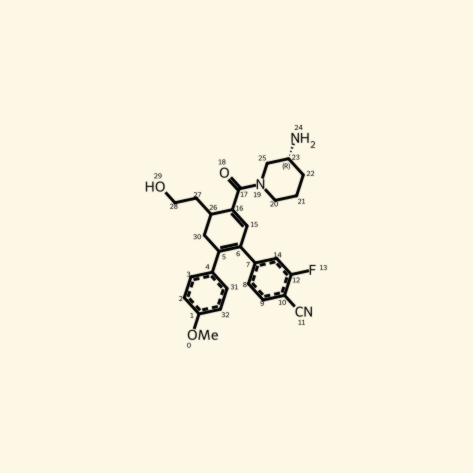 COc1ccc(C2=C(c3ccc(C#N)c(F)c3)C=C(C(=O)N3CCC[C@@H](N)C3)C(CCO)C2)cc1